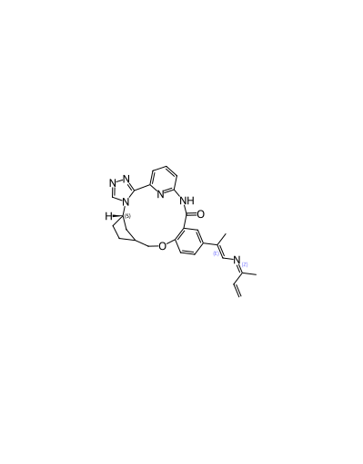 C=C/C(C)=N\C=C(/C)c1ccc2c(c1)C(=O)Nc1cccc(n1)-c1nncn1[C@H]1CCC(CO2)C1